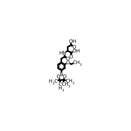 CCOc1cc(B2OC(C)(C)C(C)(C)O2)ccc1CC(=O)NC(CC(=O)O)C(=O)O